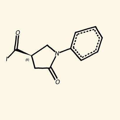 O=C(I)[C@@H]1CC(=O)N(c2ccccc2)C1